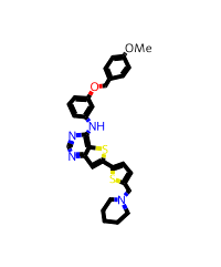 COc1ccc(COc2cccc(Nc3ncnc4cc(-c5ccc(CN6CCCCC6)s5)sc34)c2)cc1